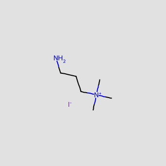 C[N+](C)(C)CCCN.[I-]